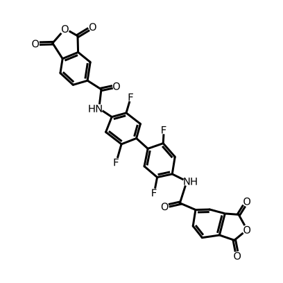 O=C(Nc1cc(F)c(-c2cc(F)c(NC(=O)c3ccc4c(c3)C(=O)OC4=O)cc2F)cc1F)c1ccc2c(c1)C(=O)OC2=O